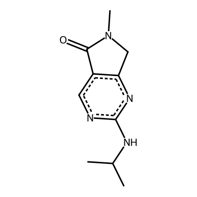 CC(C)Nc1ncc2c(n1)CN(C)C2=O